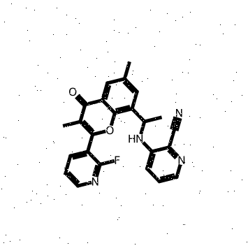 Cc1cc(C(C)Nc2cccnc2C#N)c2oc(-c3cccnc3F)c(C)c(=O)c2c1